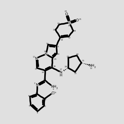 N/C(=N\c1ccccc1Cl)c1cnn2cc(C3=CCS(=O)(=O)CC3)cc2c1N[C@@H]1CC[C@H](N)C1